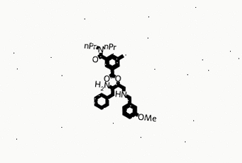 CCCN(CCC)C(=O)c1cc(C)cc(C(=O)OC(CNCc2cccc(OC)c2)C(N)CC2CCCCC2)c1